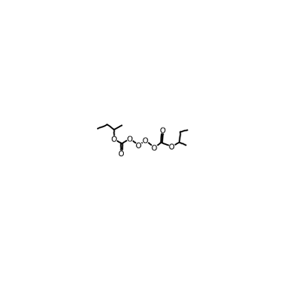 CCC(C)OC(=O)OOOOC(=O)OC(C)CC